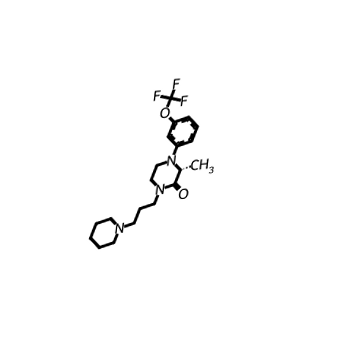 C[C@@H]1C(=O)N(CCCN2CCCCC2)CCN1c1cccc(OC(F)(F)F)c1